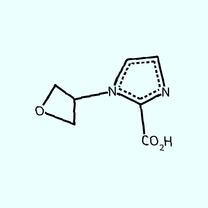 O=C(O)c1nccn1C1COC1